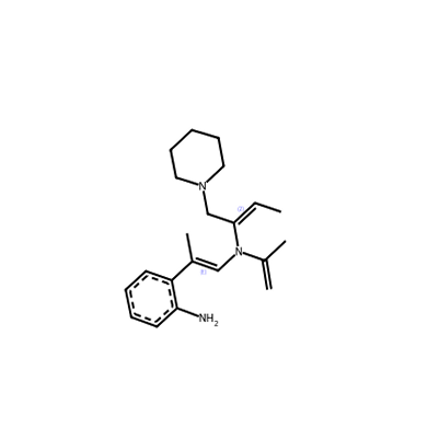 C=C(C)N(/C=C(\C)c1ccccc1N)/C(=C\C)CN1CCCCC1